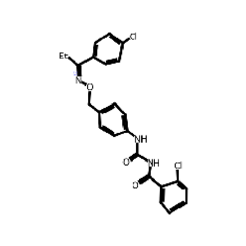 CC/C(=N/OCc1ccc(NC(=O)NC(=O)c2ccccc2Cl)cc1)c1ccc(Cl)cc1